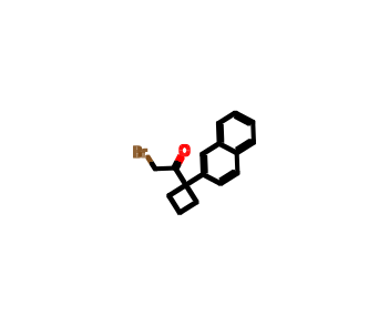 O=C(CBr)C1(c2ccc3ccccc3c2)CCC1